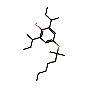 CCCCCC(C)(C)Sc1cc(C(C)CC)c([O])c(C(C)CC)c1